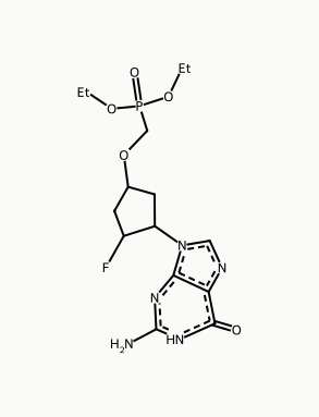 CCOP(=O)(COC1CC(F)C(n2cnc3c(=O)[nH]c(N)nc32)C1)OCC